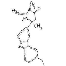 CN1C(=N)N[C@](C)(c2ccc3sc4ccc(CC(F)F)cc4c3c2)CC1=O